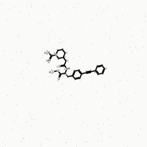 COC(=O)[C@H](Cc1ccc(C#Cc2ccccc2)cc1)NC(=O)CC1CCCN(C(=N)N)C1